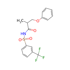 CC(COc1ccccc1)C(=O)NS(=O)(=O)c1cccc(C(F)(F)F)c1